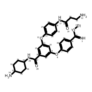 CCOC(=N)c1ccc(Oc2cc(Oc3ccc(NC(=O)CCN)cc3)cc(C(=O)NC3CCC(N)CC3)c2)cc1